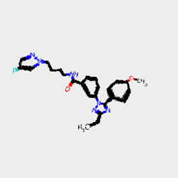 CCc1nc(-c2ccc(OC)cc2)n(-c2cccc(C(=O)NCCCCn3cc(F)cn3)c2)n1